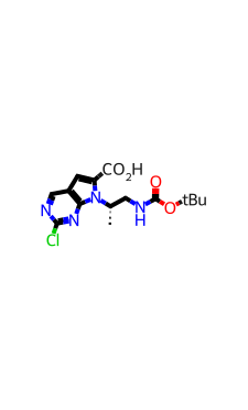 C[C@@H](CNC(=O)OC(C)(C)C)n1c(C(=O)O)cc2cnc(Cl)nc21